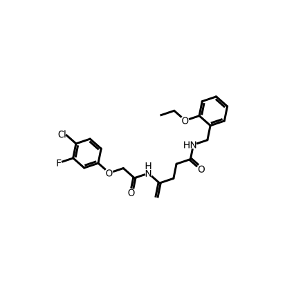 C=C(CCC(=O)NCc1ccccc1OCC)NC(=O)COc1ccc(Cl)c(F)c1